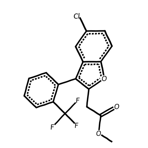 COC(=O)Cc1oc2ccc(Cl)cc2c1-c1ccccc1C(F)(F)F